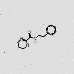 O=C(NCCc1ccccc1)C1=NCCCO1